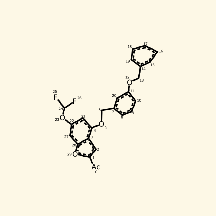 CC(=O)c1cc2c(OCc3cccc(OCc4ccccc4)c3)cc(OC(F)F)cc2o1